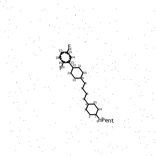 CCCCCC1CCC(CCCCC2CCC(c3cc(F)ccc3F)CC2)CC1